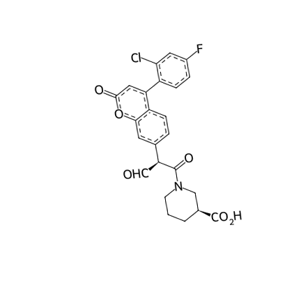 O=C[C@H](C(=O)N1CCC[C@H](C(=O)O)C1)c1ccc2c(-c3ccc(F)cc3Cl)cc(=O)oc2c1